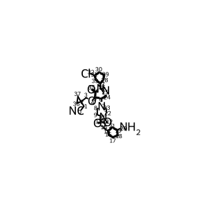 N#CCC1(COc2c(N3CCN(S(=O)(=O)Cc4cccc(N)c4)CC3)cnn(-c3cccc(Cl)c3)c2=O)CC1